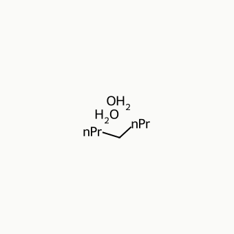 O.O.[CH2]CCCCCC